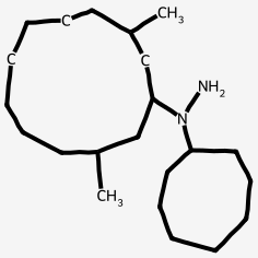 CC1CCCCCCCC(C)CC(N(N)C2CCCCCCC2)C1